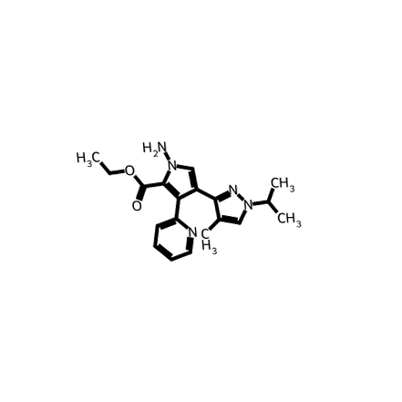 CCOC(=O)c1c(-c2ccccn2)c(-c2nn(C(C)C)cc2C)cn1N